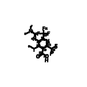 CCc1c(N=CN(C)C)c(C(F)(F)F)nc(C(F)F)c1C(=O)O